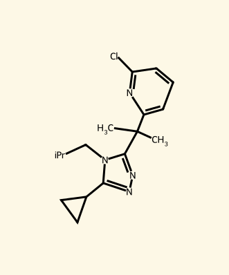 CC(C)Cn1c(C2CC2)nnc1C(C)(C)c1cccc(Cl)n1